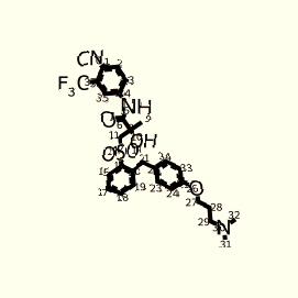 [C-]#[N+]c1ccc(NC(=O)C(C)(O)CS(=O)(=O)c2ccccc2Cc2ccc(OCCCN(C)C)cc2)cc1C(F)(F)F